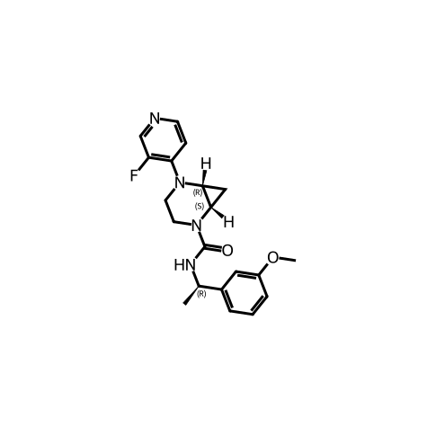 COc1cccc([C@@H](C)NC(=O)N2CCN(c3ccncc3F)[C@@H]3C[C@@H]32)c1